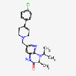 CC(C)N1c2ncc(CN3CC=C(c4ccc(Cl)cc4)CC3)cc2NC(=O)[C@@H]1C